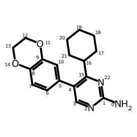 Nc1ncc(-c2ccc3c(c2)OCCO3)c(C2CCCCC2)n1